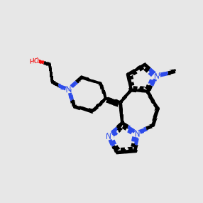 Cn1ccc2c1CCn1ccnc1C2=C1CCN(CCO)CC1